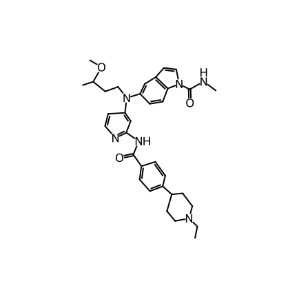 CCN1CCC(c2ccc(C(=O)Nc3cc(N(CCC(C)OC)c4ccc5c(ccn5C(=O)NC)c4)ccn3)cc2)CC1